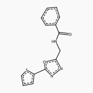 O=C(NCc1nnc(-c2cccs2)o1)c1ccccc1